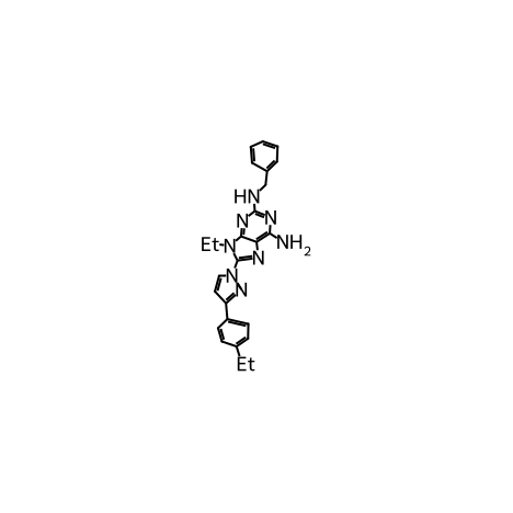 CCc1ccc(-c2ccn(-c3nc4c(N)nc(NCc5ccccc5)nc4n3CC)n2)cc1